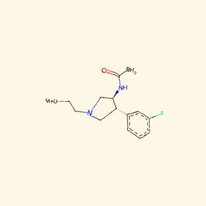 BC(=O)N[C@@H]1CN(CCOC)C[C@H]1c1cccc(F)c1